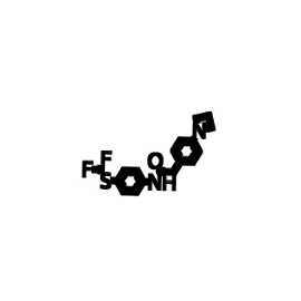 O=C(Cc1ccc(N2CCC2)cc1)Nc1ccc(SC(F)F)cc1